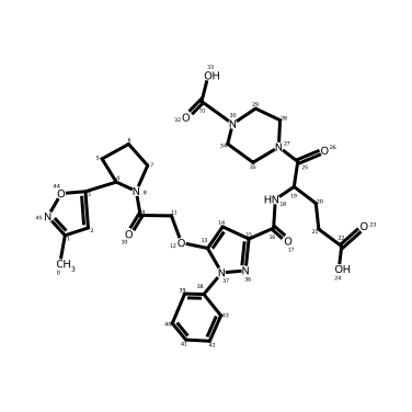 Cc1cc(C2CCCN2C(=O)COc2cc(C(=O)NC(CCC(=O)O)C(=O)N3CCN(C(=O)O)CC3)nn2-c2ccccc2)on1